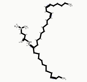 CC/C=C\CCCCCCCC/C(CCCCCCCC/C=C\C/C=C\CCCCC)=N/NC(=O)CCN(C)C